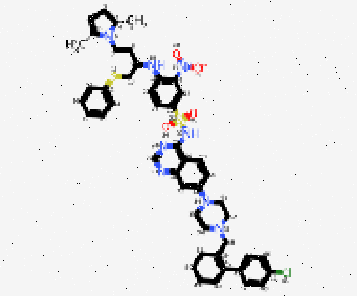 C[C@@H]1CC[C@H](C)N1CCC(CSc1ccccc1)Nc1ccc(S(=O)(=O)Nc2ncnc3cc(N4CCN(CC5=C(c6ccc(Cl)cc6)CCCC5)CC4)ccc23)cc1[N+](=O)[O-]